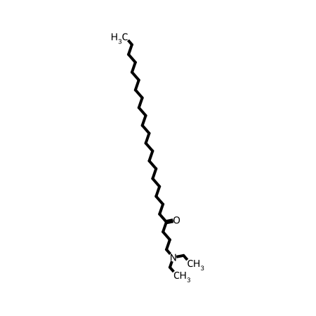 CCCCCCCCCCCCCCCCCCCCCC(=O)CCCN(CC)CC